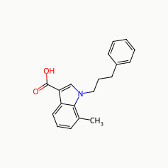 Cc1cccc2c(C(=O)O)cn(CCCc3ccccc3)c12